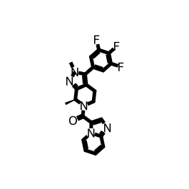 C[C@H]1c2nn(C)c(-c3cc(F)c(F)c(F)c3)c2CCN1C(=O)c1cnc2ccccn12